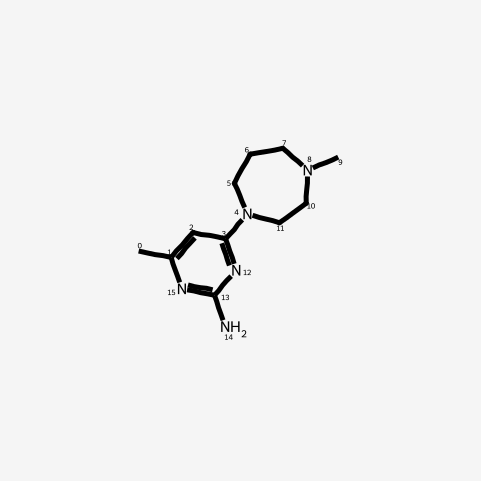 Cc1cc(N2CCCN(C)CC2)nc(N)n1